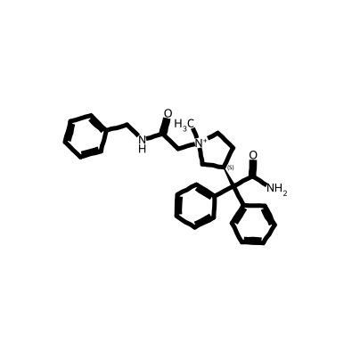 C[N+]1(CC(=O)NCc2ccccc2)CC[C@@H](C(C(N)=O)(c2ccccc2)c2ccccc2)C1